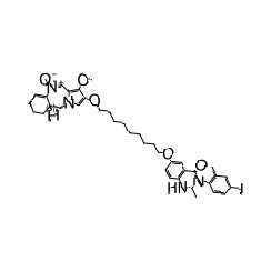 COc1c(OCCCCCCCCCOc2ccc3c(c2)C(=O)N(c2ccc(I)cc2C)C(C)N3)cn2c1C=[N+]([O-])C1=CCCC[C@H]1C2